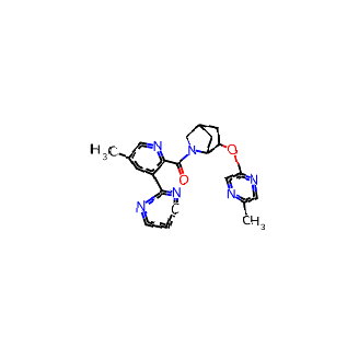 Cc1cnc(C(=O)N2CC3CC(Oc4cnc(C)cn4)C2C3)c(-c2ncccn2)c1